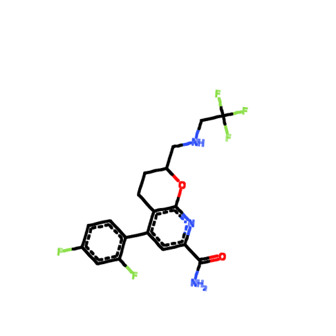 NC(=O)c1cc(-c2ccc(F)cc2F)c2c(n1)OC(CNCC(F)(F)F)CC2